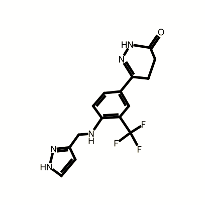 O=C1CCC(c2ccc(NCc3cc[nH]n3)c(C(F)(F)F)c2)=NN1